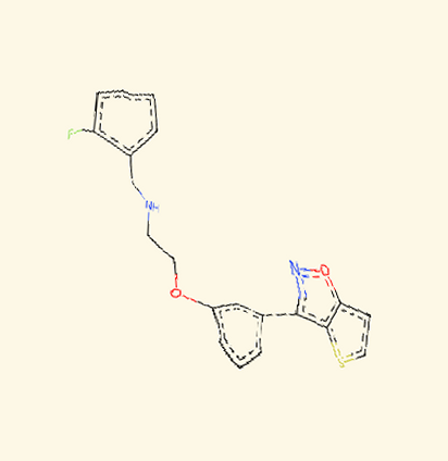 Fc1ccccc1CNCCOc1cccc(-c2noc3ccsc23)c1